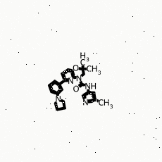 Cc1cncc(NC(=O)N2CC(C)(C)Oc3ccc(-c4cccc(N5CCCC5)c4)nc32)c1